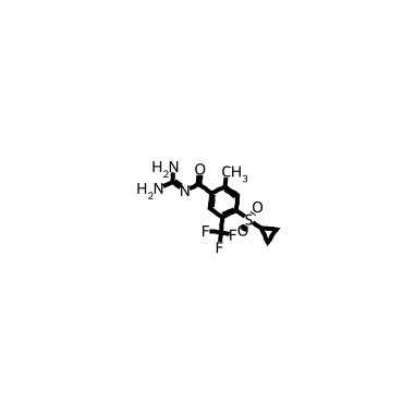 Cc1cc(S(=O)(=O)C2CC2)c(C(F)(F)F)cc1C(=O)N=C(N)N